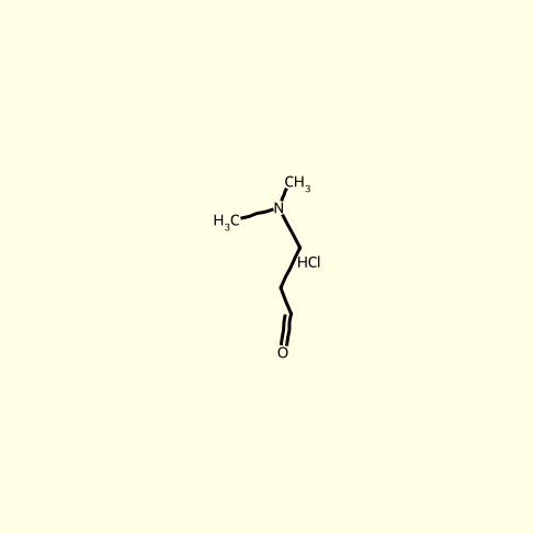 CN(C)CCC=O.Cl